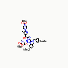 COc1ccc(CN(Cc2ccc(OC)cc2)c2nc(OC(C)CN(C)C(=O)OC(C)(C)C)nn3c(C(O)c4cnc(N5CCN(C(=O)OC(C)(C)C)CC5)c(C)c4)cnc23)cc1